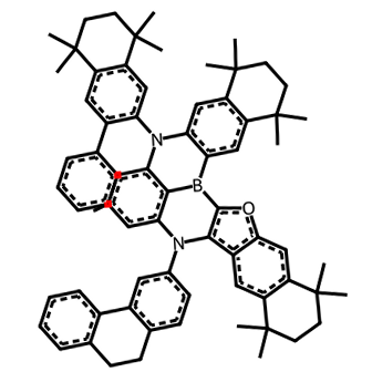 Cc1cc2c3c(c1)N(c1ccc4c(c1)-c1ccccc1CC4)c1c(oc4cc5c(cc14)C(C)(C)CCC5(C)C)B3c1cc3c(cc1N2c1cc2c(cc1-c1ccccc1)C(C)(C)CCC2(C)C)C(C)(C)CCC3(C)C